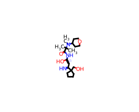 CN(C1CCOCC1)C(C)(C)C(=O)N/C(O)=C/C(=N)C1(CO)CCCC1